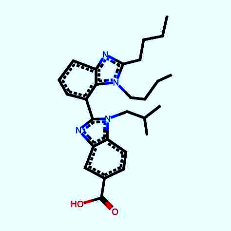 CCCCc1nc2cccc(-c3nc4cc(C(=O)O)ccc4n3CC(C)C)c2n1CCCC